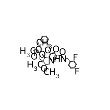 CCOP(C)(=O)CCC1(C)C(=O)c2c(OCc3ccccc3)c(=O)c(C(=O)NCc3ccc(F)cc3F)cn2CC1OC